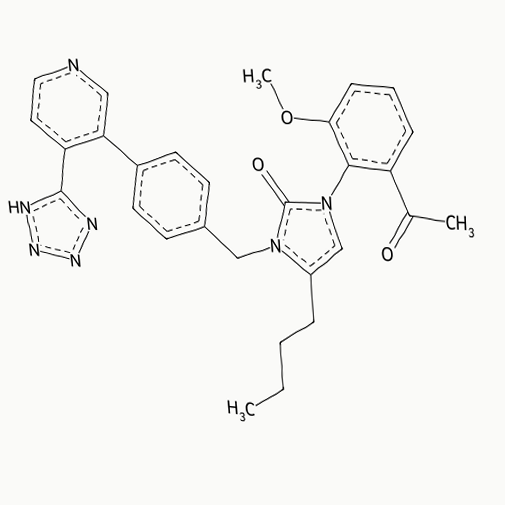 CCCCc1cn(-c2c(OC)cccc2C(C)=O)c(=O)n1Cc1ccc(-c2cnccc2-c2nnn[nH]2)cc1